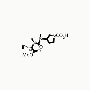 COC(=O)[C@H](C(C)C)N(C)C(=O)N(C)C1CCN(C(=O)O)C1